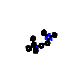 c1ccc(-c2cc(-c3ccccc3)c3c4ccccc4n(-c4ccc(-c5cccc(-c6nc(-c7ccccc7)nc(-c7ccccc7)n6)c5)cc4)c3c2)cc1